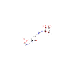 CC(=O)O[C@@H](C)/C=C\C(=O)N[C@@H]1CC[C@H](C/C=C(C)/C=C/[C@H]2O[C@](C)(I)C[C@@]3(CO3)[C@@H]2O)O[C@@H]1C